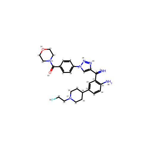 N=C(c1cn(-c2ccc(C(=O)N3CCOCC3)cc2)nn1)c1cc(C2CCN(CCF)CC2)ccc1N